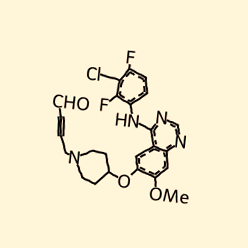 COc1cc2ncnc(Nc3ccc(F)c(Cl)c3F)c2cc1OC1CCN(CC#CC=O)CC1